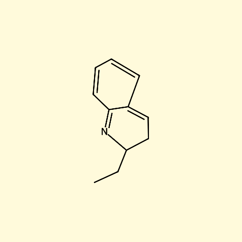 CCC1CC=c2ccccc2=N1